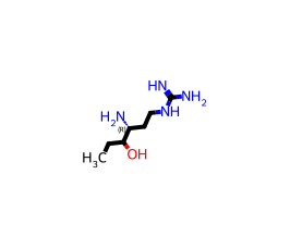 CCC(O)[C@H](N)CCNC(=N)N